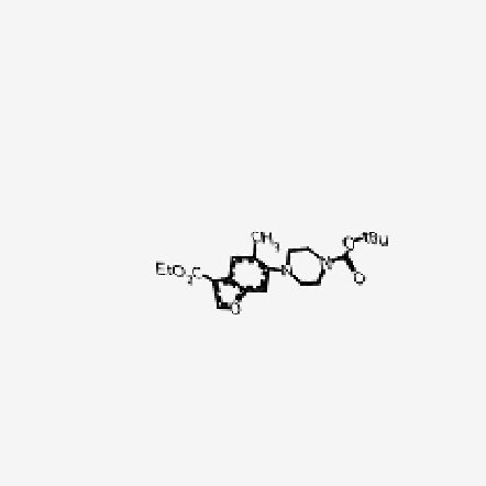 CCOC(=O)c1coc2cc(N3CCN(C(=O)OC(C)(C)C)CC3)c(C)cc12